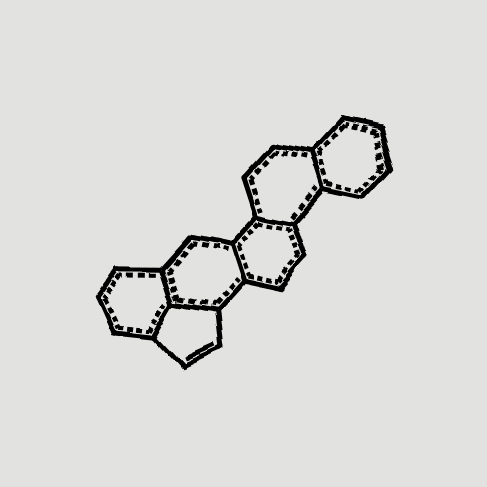 C1=Cc2c3ccc4c5ccccc5ccc4c3cc3cccc1c23